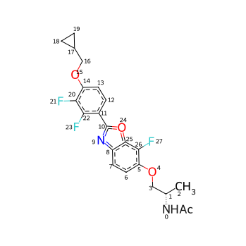 CC(=O)N[C@@H](C)COc1ccc2nc(-c3ccc(OCC4CC4)c(F)c3F)oc2c1F